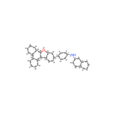 c1ccc2cc(Nc3ccc(-c4ccc5c(c4)oc4c6ccccc6c6ccccc6c54)cc3)ccc2c1